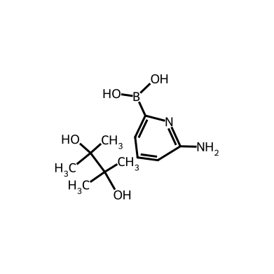 CC(C)(O)C(C)(C)O.Nc1cccc(B(O)O)n1